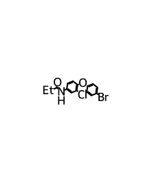 CCC(=O)Nc1ccc(Oc2ccc(Br)cc2)c(Cl)c1